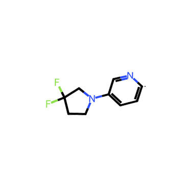 FC1(F)CCN(c2cc[c]nc2)C1